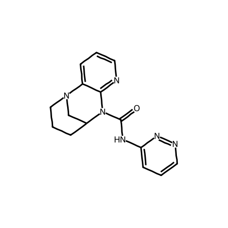 O=C(Nc1cccnn1)N1c2ncccc2N2CCCC1C2